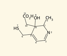 CC1N=CC=C(CS)C1(O)CC(=O)O